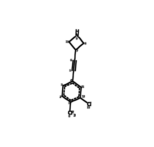 FC(F)(F)c1ccc(C#CC2CNC2)cc1Cl